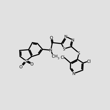 CN(C(=O)c1nnc(Sc2c(Cl)cncc2Cl)s1)c1ccc2c(c1)S(=O)(=O)C=C2